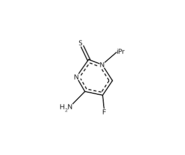 CC(C)n1cc(F)c(N)nc1=S